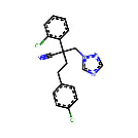 N#CC(CCc1ccc(Cl)cc1)(Cn1cncn1)c1ccccc1Cl